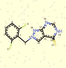 Fc1cccc(F)c1Cn1cc2c(=S)[nH]cnc2n1